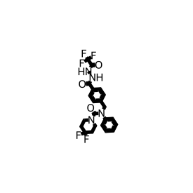 O=C(NNC(=O)C(F)(F)F)c1ccc(CN(C(=O)N2CCC(F)(F)CC2)c2ccccc2)cc1